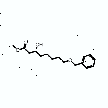 COC(=O)C[C@@H](O)CCCCCOCc1ccccc1